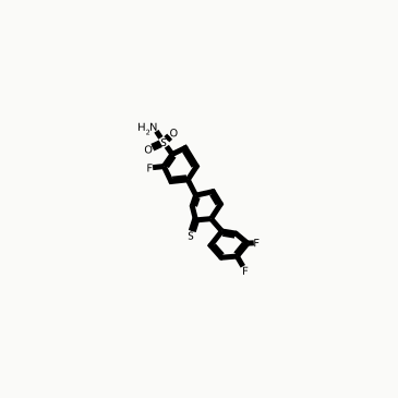 NS(=O)(=O)c1ccc(C2=CC(=S)C(c3ccc(F)c(F)c3)C=C2)cc1F